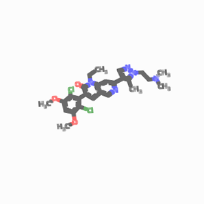 CCn1c(=O)c(-c2c(Cl)c(OC)cc(OC)c2Cl)cc2cnc(-c3cnn(CCN(C)C)c3C)cc21